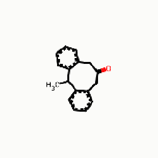 CC1c2ccccc2CC(=O)Cc2ccccc21